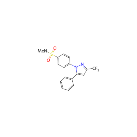 CNS(=O)(=O)c1ccc(-n2nc(C(F)(F)F)cc2-c2ccccc2)cc1